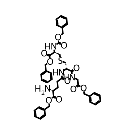 N[C@H](CCC(=O)N[C@H](CSC[C@H](NC(=O)OCc1ccccc1)C(=O)OCc1ccccc1)C(=O)NCC(=O)OCc1ccccc1)C(=O)OCc1ccccc1